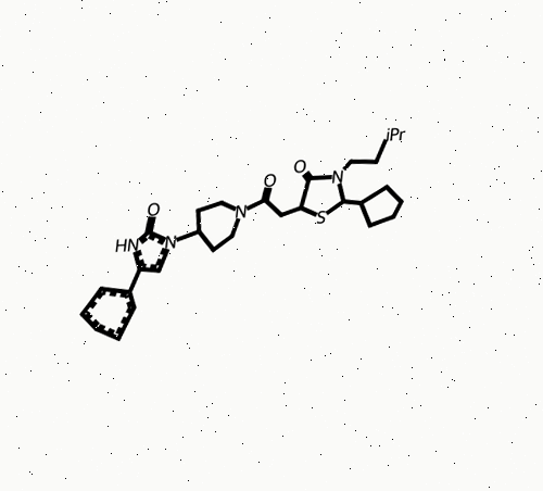 CC(C)CCN1C(=O)C(CC(=O)N2CCC(n3cc(-c4ccccc4)[nH]c3=O)CC2)SC1C1CCCC1